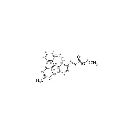 CCOC(=O)/C=C/c1cccc2c1OCc1ccccc1C2=C1CCN(C)CC1